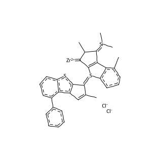 CC1=Cc2c(sc3cccc(-c4ccccc4)c23)C1=S1C2=C(C(=[Si](C)C)C(C)[C]2=[Zr+2])c2c(C)cccc21.[Cl-].[Cl-]